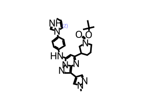 C/C=C\N(C=N)c1ccc(Nc2cc(C3CCCN(C(=O)OC(C)(C)C)C3)nc3c(-c4cnn(C)c4)cnn23)cc1